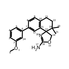 COc1cccc(-c2ccc3c(c2)C2(COC(N)=N2)C(C)(C)CC3)c1